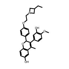 CCC1CN(CCOc2ccc(C3Oc4ccc(O)cc4C(C)=C3c3ccc(OC)c(O)c3)cc2)C1